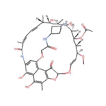 CO[C@H]1/C=C/O[C@@]2(C)Oc3c(C)c(O)c4c(O)c(cc(OCC(=O)NC5CC(N)C5)c4c3C2=O)NC(=O)/C(C)=C\C=C\[C@H](C)[C@H](O)[C@@H](C)[C@@H](O)[C@@H](C)[C@H](OC(C)=O)[C@@H]1C